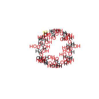 C=CC.OC[C@H]1O[C@@H]2O[C@H]3[C@H](O)[C@@H](O)[C@@H](O[C@H]4[C@H](O)[C@@H](O)[C@@H](O[C@H]5[C@H](O)[C@@H](O)[C@@H](O[C@H]6[C@H](O)[C@@H](O)[C@@H](O[C@H]7[C@H](O)[C@@H](O)[C@@H](O[C@H]8[C@H](O)[C@@H](O)[C@@H](O[C@H]9[C@H](O)[C@@H](O)[C@@H](O[C@H]1[C@H](O)[C@H]2O)O[C@@H]9CO)O[C@@H]8CO)O[C@@H]7CO)O[C@@H]6CO)O[C@@H]5CO)O[C@@H]4CO)O[C@@H]3CO.[S-2]